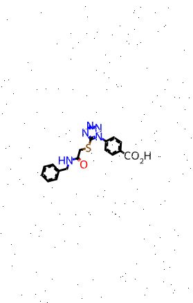 O=C(CSc1nnnn1-c1ccc(C(=O)O)cc1)NCc1ccccc1